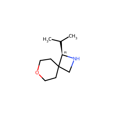 CC(C)[C@H]1NCC12CCOCC2